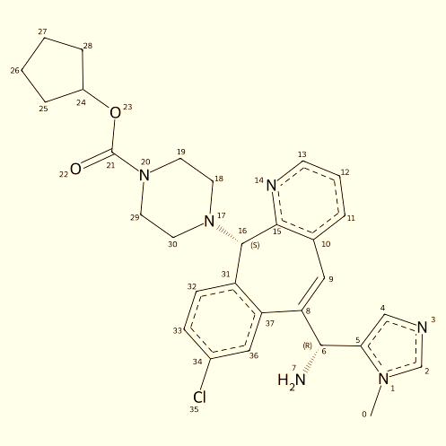 Cn1cncc1[C@H](N)C1=Cc2cccnc2[C@@H](N2CCN(C(=O)OC3CCCC3)CC2)c2ccc(Cl)cc21